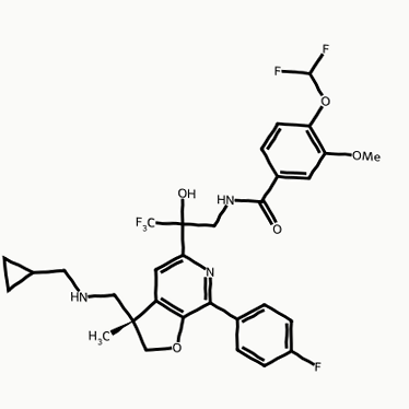 COc1cc(C(=O)NCC(O)(c2cc3c(c(-c4ccc(F)cc4)n2)OC[C@]3(C)CNCC2CC2)C(F)(F)F)ccc1OC(F)F